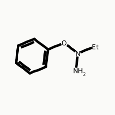 CCN(N)Oc1ccccc1